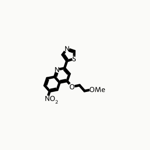 COCCOc1cc(-c2cncs2)nc2ccc([N+](=O)[O-])cc12